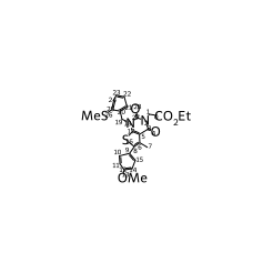 CCOC(=O)Cn1c(=O)c2c(C)c(-c3ccc(OC)cc3)sc2n(Cc2ccccc2SC)c1=O